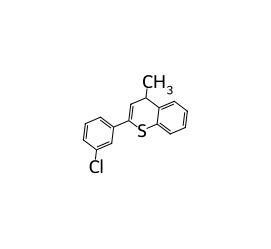 CC1C=C(c2cccc(Cl)c2)Sc2ccccc21